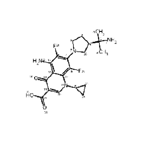 CC(C)(N)[C@@H]1CCN(c2c(F)c(N)c3c(=O)c(C(=O)O)cn(C4CC4)c3c2F)C1